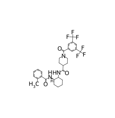 Cc1ccccc1C(=O)N[C@@H]1CCCCC1NC(=O)C1CCN(C(=O)c2cc(C(F)(F)F)cc(C(F)(F)F)c2)CC1